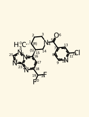 C[C@@H]1CCN(C(=O)c2ccnc(Cl)c2)C[C@H]1c1cc(C(F)F)nc2ncnn12